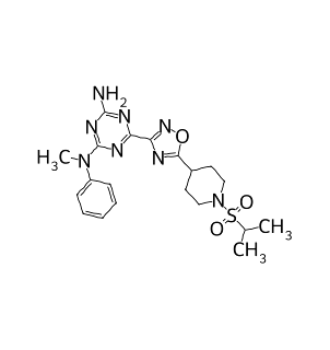 CC(C)S(=O)(=O)N1CCC(c2nc(-c3nc(N)nc(N(C)c4ccccc4)n3)no2)CC1